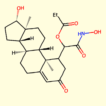 CCC(=O)O[C](C(=O)NO)C1CC(=O)C=C2CC[C@H]3[C@@H]4CC[C@H](O)[C@@]4(C)CC[C@@H]3[C@]21C